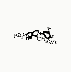 COc1cc(N2CCc3cc(C(=O)O)ncc3C2C)cc(F)c1F